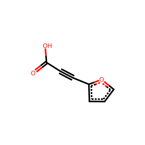 O=C(O)C#Cc1ccco1